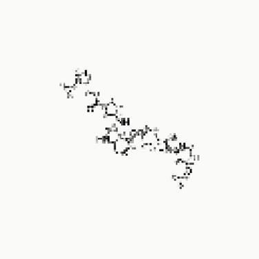 CN(CC=CC(=O)N1CC[C@@H](Nc2n[nH]c3nccc(Oc4ccc(C(=O)Nc5cc(OC6CC6)ccn5)cc4)c23)C1)C1CC1